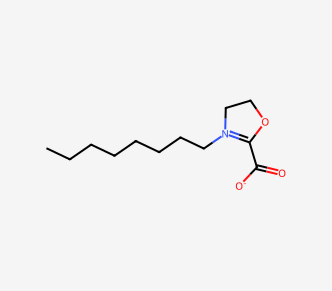 CCCCCCCC[N+]1=C(C(=O)[O-])OCC1